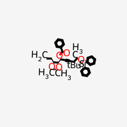 C=CC[C@@H]1OC(C)(C)O[C@@H]1C(C#CC[C@@H](C)O[Si](c1ccccc1)(c1ccccc1)C(C)(C)C)OC(=O)c1ccccc1